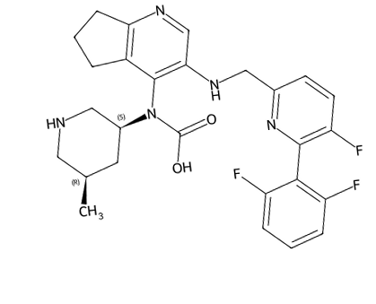 C[C@H]1CNC[C@@H](N(C(=O)O)c2c(NCc3ccc(F)c(-c4c(F)cccc4F)n3)cnc3c2CCC3)C1